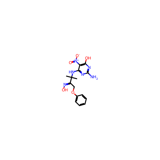 CC(C)(Nc1nc(N)nc(O)c1[N+](=O)[O-])C(COc1ccccc1)=NO